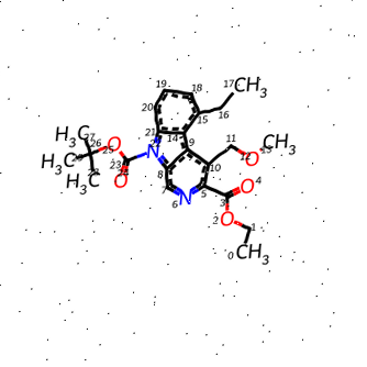 CCOC(=O)c1ncc2c(c1COC)c1c(CC)cccc1n2C(=O)OC(C)(C)C